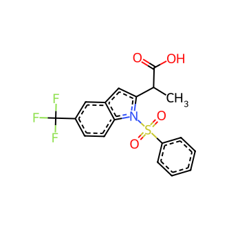 CC(C(=O)O)c1cc2cc(C(F)(F)F)ccc2n1S(=O)(=O)c1ccccc1